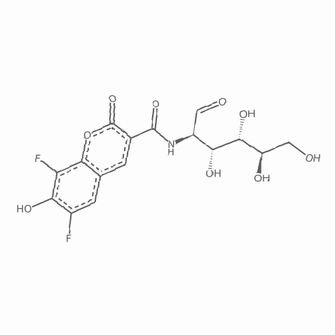 O=C[C@H](NC(=O)c1cc2cc(F)c(O)c(F)c2oc1=O)[C@@H](O)[C@H](O)[C@H](O)CO